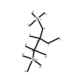 CCC(C)(C[Si](C)(C)C)C(C)(C)[Si](C)(C)C